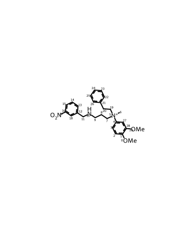 COc1ccc([N+](C)(CCCNCc2cccc([N+](=O)[O-])c2)CCc2ccccc2)cc1OC